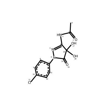 CC(=O)NC1=NN(c2ccc(Cl)cc2)C(=O)C1(O)O